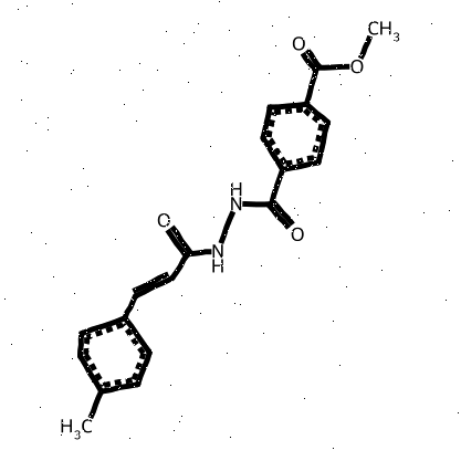 COC(=O)c1ccc(C(=O)NNC(=O)C=Cc2ccc(C)cc2)cc1